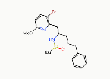 COc1ccc(Br)c(CC(CCCc2ccccc2)N[S+]([O-])C(C)(C)C)n1